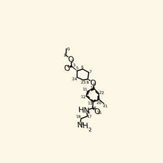 CCOC(=O)[C@H]1CC[C@@H](Oc2ccc(C(=O)NCCN)c(C)c2)CC1